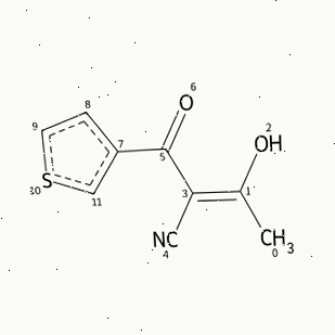 C/C(O)=C(\C#N)C(=O)c1ccsc1